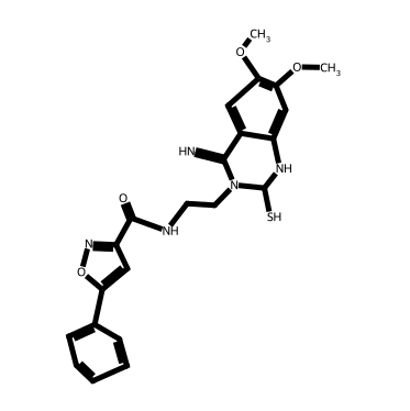 COc1cc2c(cc1OC)C(=N)N(CCNC(=O)c1cc(-c3ccccc3)on1)C(S)N2